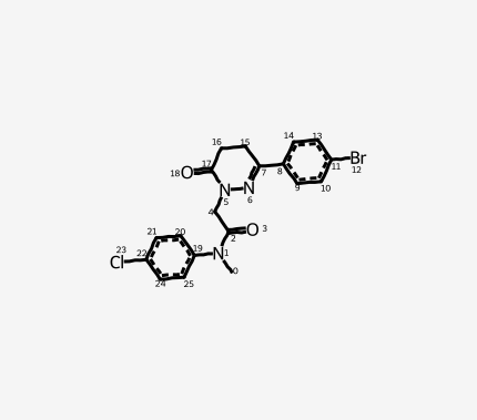 CN(C(=O)CN1N=C(c2ccc(Br)cc2)CCC1=O)c1ccc(Cl)cc1